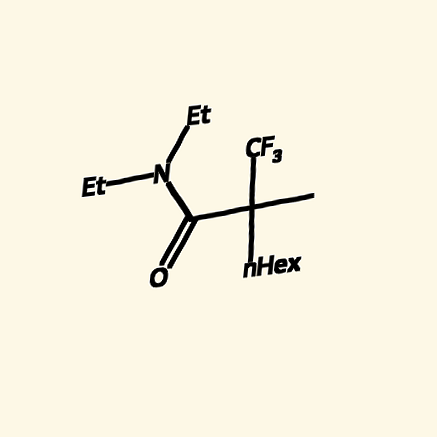 CCCCCCC(C)(C(=O)N(CC)CC)C(F)(F)F